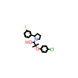 CC(C)(Oc1ccc(Cl)cc1)C(O)N1CCCC1c1cccc(F)c1